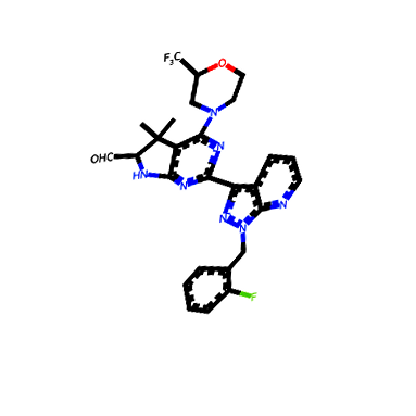 CC1(C)c2c(nc(-c3nn(Cc4ccccc4F)c4ncccc34)nc2N2CCOC(C(F)(F)F)C2)NC1C=O